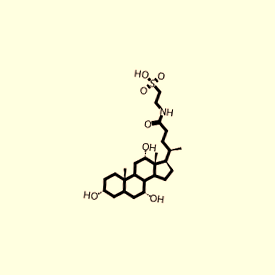 C[C@H](CCC(=O)NCCS(=O)(=O)O)[C@H]1CCC2C3C(C[C@H](O)[C@@]21C)[C@@]1(C)CC[C@@H](O)CC1C[C@H]3O